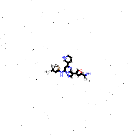 C=C(C)/C=C(/Nc1cc(C2CCCNC2)nc2c(-c3coc(C(C)=N)c3)cnn12)SC